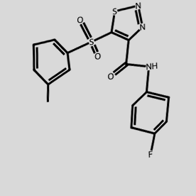 Cc1cccc(S(=O)(=O)c2snnc2C(=O)Nc2ccc(F)cc2)c1